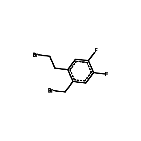 Fc1cc(CBr)c(CCBr)cc1F